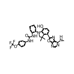 CNc1ncnc2oc(-c3ccc(O)c4c3C(C)(C)CN4c3ccccc3NC(=O)Nc3ccc(OC(F)(F)F)cc3)nc12